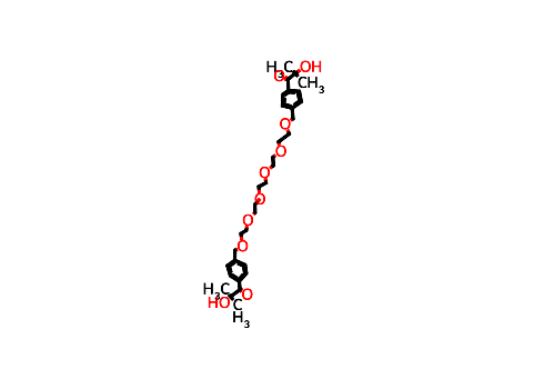 CC(C)(O)C(=O)c1ccc(COCCOCCOCCOCCOCCOCc2ccc(C(=O)C(C)(C)O)cc2)cc1